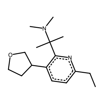 CCc1ccc(C2CCOC2)c(C(C)(C)N(C)C)n1